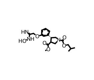 COC(=O)C1CN(C(=O)OCC(C)C)C[C@H]1c1cccc(OCC(=N)NO)c1